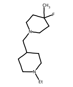 CCN1CCC(CN2CCC(C)(F)CC2)CC1